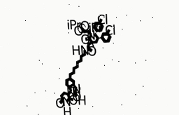 CC(C)[C@@H](CS(=O)(=O)C(C)C)N1C(=O)[C@@](C)(CC(=O)NCCCCCCCCc2ccc3c(c2)n(C)c(=O)n3C2CCC(=O)NC2O)C[C@H](c2cccc(Cl)c2)[C@H]1c1ccc(Cl)cc1